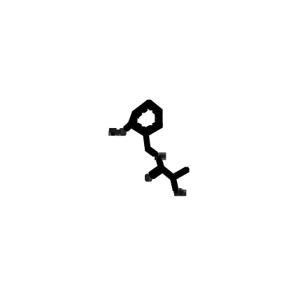 COc1ccccc1CNC(=O)C(C)C(C)(C)C